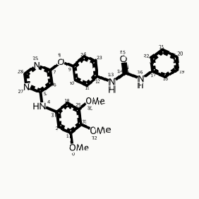 COc1cc(Nc2cc(Oc3ccc(NC(=O)Nc4ccccc4)cc3)ncn2)cc(OC)c1OC